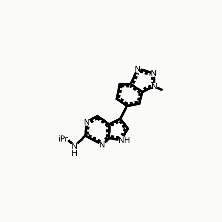 CC(C)Nc1ncc2c(-c3ccc4nnn(C)c4c3)c[nH]c2n1